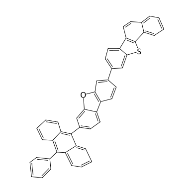 c1ccc(-c2c3ccccc3c(-c3ccc4c(c3)oc3cc(-c5ccc6c(c5)sc5c7ccccc7ccc65)ccc34)c3ccccc23)cc1